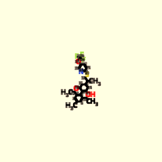 CCc1cc(C)cc(CC)c1C1=C(O)CC(C(C)CSc2ccc(OC(F)(F)F)cn2)CC1=O